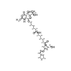 CC(=O)N[C@@H](CO)C(OCCCCCC(=O)NCCCCCC(=O)N1C[C@H](O/C=C\C2CCCC2)C[C@H]1CO)OC(CO)[C@@H](C)O